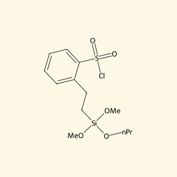 CCCO[Si](CCc1ccccc1S(=O)(=O)Cl)(OC)OC